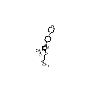 COCCOc1nn([C@H]2CC[C@H](N3CCOCC3)CC2)cc1[N+](=O)[O-]